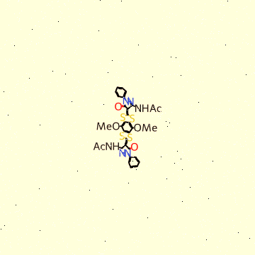 COc1c2c(c(OC)c3c1SC(=C1C(=O)N(c4ccccc4)N=C1NC(C)=O)S3)SC(=C1C(=O)N(c3ccccc3)N=C1NC(C)=O)S2